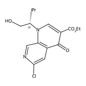 CCOC(=O)c1cn([C@H](CO)C(C)C)c2cnc(Cl)cc2c1=O